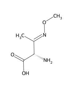 CO/N=C(\C)[C@H](N)C(=O)O